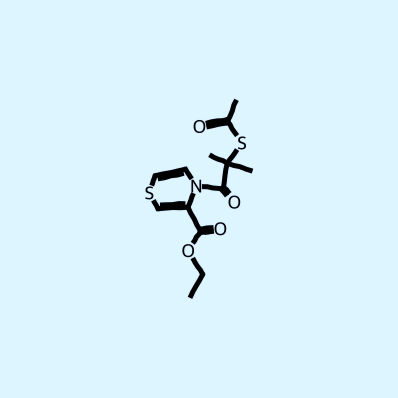 CCOC(=O)C1=CSC=CN1C(=O)C(C)(C)SC(C)=O